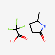 CC1CCC(=O)N1.O=C(O)C(F)(F)F